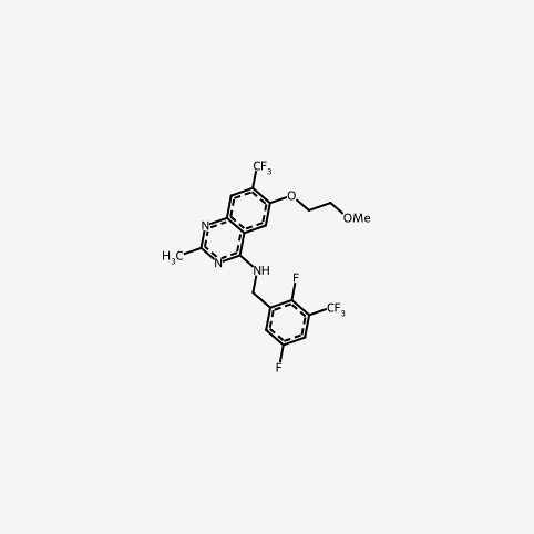 COCCOc1cc2c(NCc3cc(F)cc(C(F)(F)F)c3F)nc(C)nc2cc1C(F)(F)F